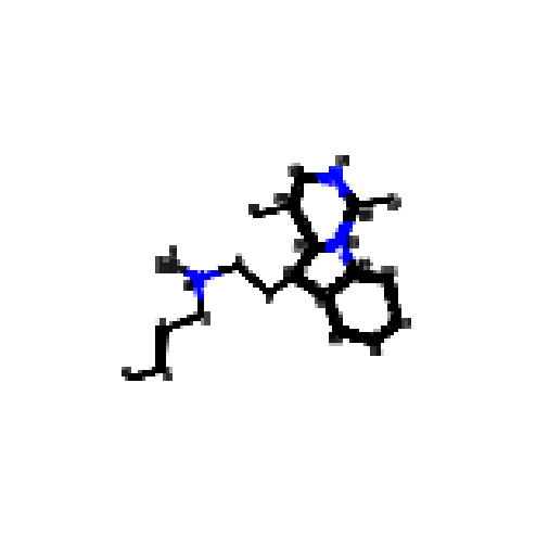 CC=CCN(CC)CCc1c2ccccc2n2c(C)ncc(C)c12